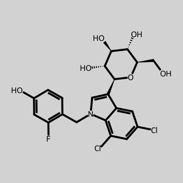 OC[C@H]1O[C@@H](c2cn(Cc3ccc(O)cc3F)c3c(Cl)cc(Cl)cc23)[C@H](O)[C@@H](O)[C@@H]1O